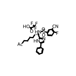 CC(=O)CCCCC[C@H](NS(=O)(=O)c1ccc(F)c(C#N)c1)c1ncc(-c2ccccc2)[nH]1.O=C(O)C(F)(F)F